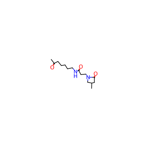 CC(=O)CCCCCNC(=O)CCN1CC(C)CC1=O